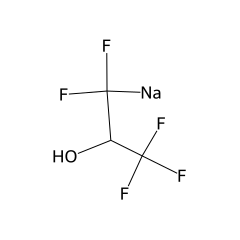 OC(C(F)(F)F)[C](F)(F)[Na]